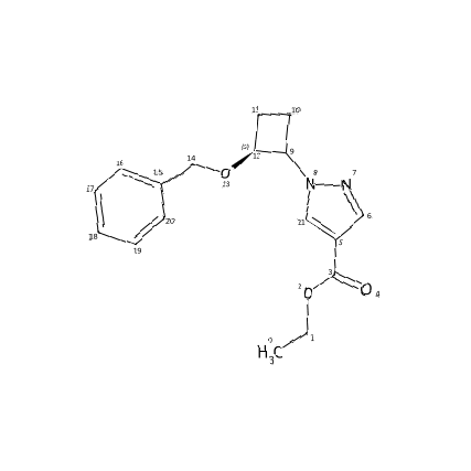 CCOC(=O)c1cnn(C2CC[C@@H]2OCc2ccccc2)c1